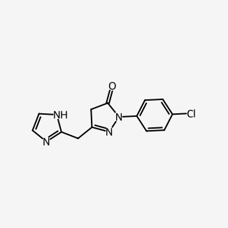 O=C1CC(Cc2ncc[nH]2)=NN1c1ccc(Cl)cc1